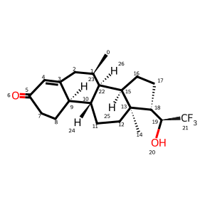 C[C@@H]1CC2=CC(=O)CC[C@@H]2[C@H]2CC[C@@]3(C)[C@H](CC[C@@H]3[C@H](O)C(F)(F)F)[C@@H]21